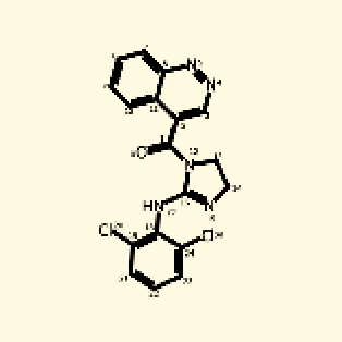 O=C(c1cnnc2ccccc12)N1CCN=C1Nc1c(Cl)cccc1Cl